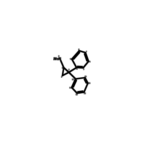 [CH2]NC1CC1(c1ccccc1)c1ccccc1